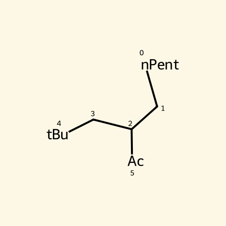 CCCCCCC(CC(C)(C)C)C(C)=O